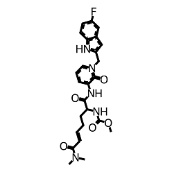 COC(=O)NC(CC/C=C/C(=O)N(C)C)C(=O)Nc1cccn(Cc2cc3cc(F)ccc3[nH]2)c1=O